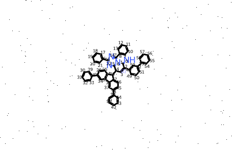 N=C/C(=C\C(c1nc(-c2ccccc2)nc(-c2ccccc2)n1)C1c2ccc(-c3ccccc3)cc2-c2cc(-c3ccccc3)ccc21)c1cccc(-c2ccccc2)c1